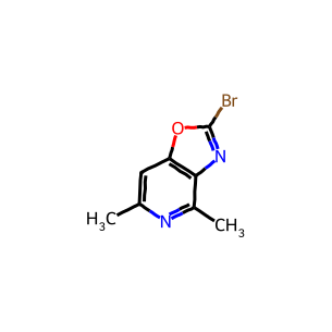 Cc1cc2oc(Br)nc2c(C)n1